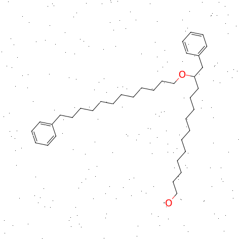 [O]CCCCCCCCCCCC(Cc1ccccc1)OCCCCCCCCCCCCc1ccccc1